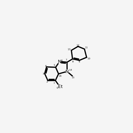 CCC1=CC=CC2N=C(C3=CCCCC3)N(C)C12